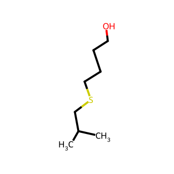 CC(C)CSCCCCO